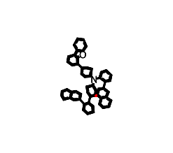 c1ccc(-c2ccc3ccccc3c2)c(-c2ccc(N(c3ccc(-c4cccc5c4oc4ccccc45)cc3)c3ccccc3-c3ccc4ccccc4c3)cc2)c1